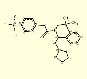 CC1(C)CN(C(=O)Cc2ccc(C(F)(F)F)cc2)C(CN2CCCC2)c2ccccc21